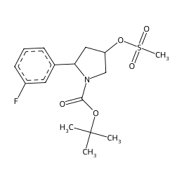 CC(C)(C)OC(=O)N1CC(OS(C)(=O)=O)CC1c1cccc(F)c1